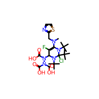 CN(Cc1nccs1)C1=C(F)C(N(C(=O)O)N(C(=O)O)C(=O)O)N(C(C)(C)C)C(Cl)(C(C)(C)C)N1C(C)(C)C